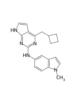 Cn1ccc2cc(Nc3nc(CC4CCC4)c4cc[nH]c4n3)ccc21